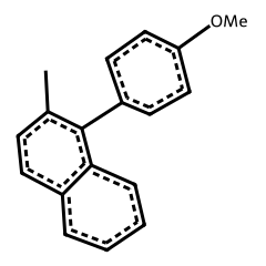 COc1ccc(-c2c(C)ccc3ccccc23)cc1